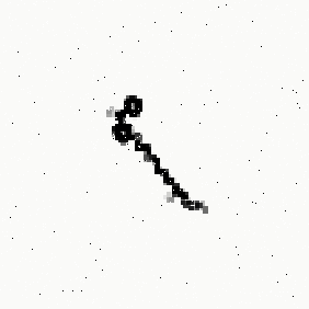 COCC(=O)OCCCCOCCOc1cccc(C(=O)c2ccccc2)c1